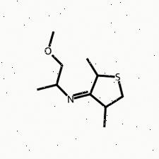 COCC(C)N=C1C(C)CSC1C